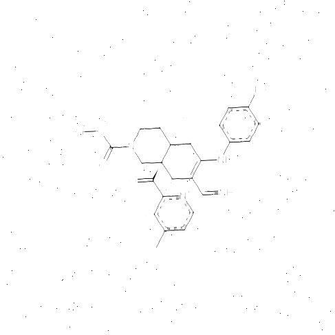 Cc1ccnc(C(=O)[C@]23CC(C=N)=C(Nc4ccc(F)cc4)C[C@@H]2CCN(C(=O)OC(C)(C)C)C3)c1